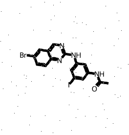 CC(=O)Nc1cc(I)cc(Nc2ncc3cc(Br)ccc3n2)c1